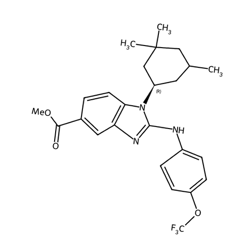 COC(=O)c1ccc2c(c1)nc(Nc1ccc(OC(F)(F)F)cc1)n2[C@@H]1CC(C)CC(C)(C)C1